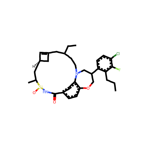 CCCc1c(C2COc3ccc4cc3N(CCC(CC)CC3=C[C@@H](C3)CC(C)[S+]([O-])NC4=O)C2)ccc(Cl)c1F